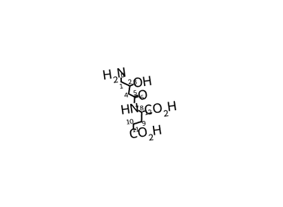 NCC(O)CC(=O)N[C@H](CCC(=O)O)C(=O)O